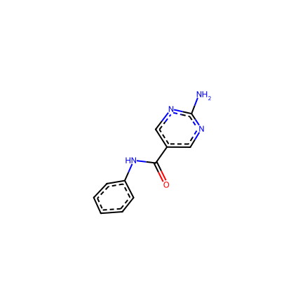 Nc1ncc(C(=O)Nc2ccccc2)cn1